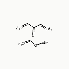 C=CC(=O)C=C.C=COCCCC